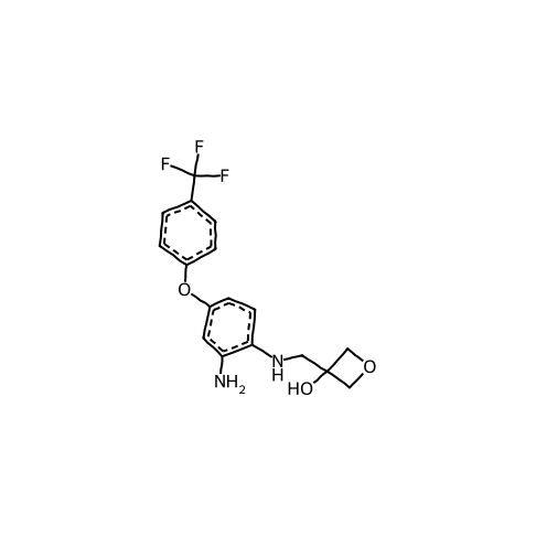 Nc1cc(Oc2ccc(C(F)(F)F)cc2)ccc1NCC1(O)COC1